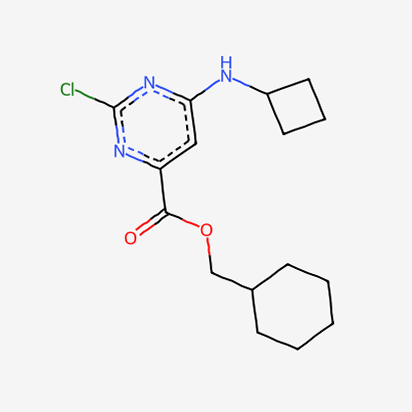 O=C(OCC1CCCCC1)c1cc(NC2CCC2)nc(Cl)n1